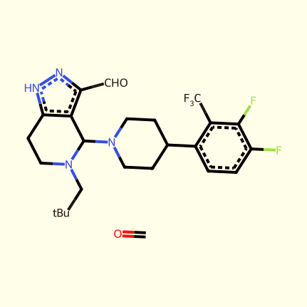 C=O.CC(C)(C)CN1CCc2[nH]nc(C=O)c2C1N1CCC(c2ccc(F)c(F)c2C(F)(F)F)CC1